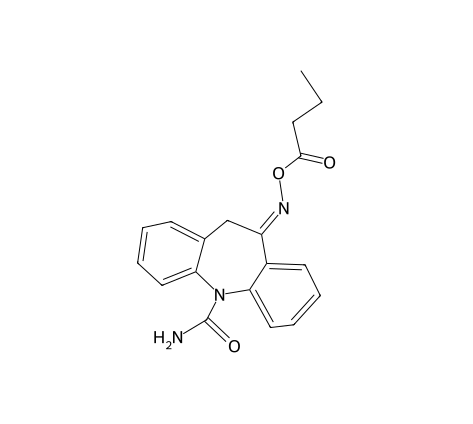 CCCC(=O)ON=C1Cc2ccccc2N(C(N)=O)c2ccccc21